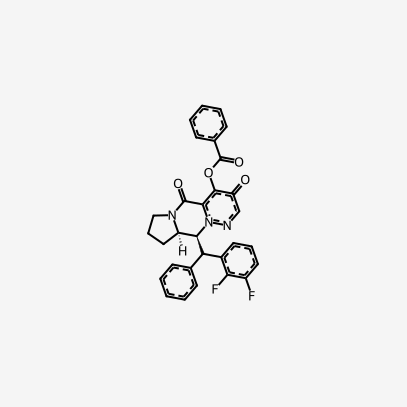 O=C(Oc1c2n(ncc1=O)[C@@H](C(c1ccccc1)c1cccc(F)c1F)[C@H]1CCCN1C2=O)c1ccccc1